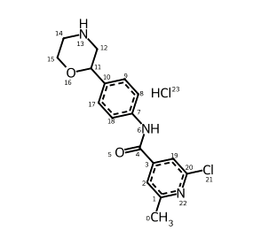 Cc1cc(C(=O)Nc2ccc(C3CNCCO3)cc2)cc(Cl)n1.Cl